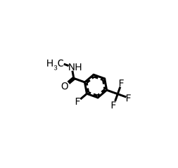 CNC(=O)c1ccc(C(F)(F)F)cc1F